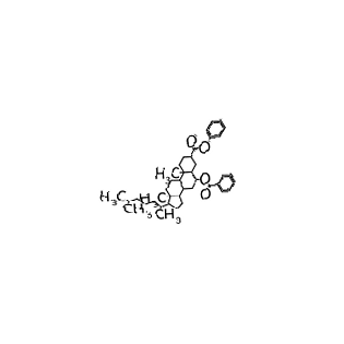 CC(C)CCCC(C)C1CCC2C3CC(OC(=O)c4ccccc4)C4CC(C(=O)Oc5ccccc5)CCC4(C)C3CCC12C